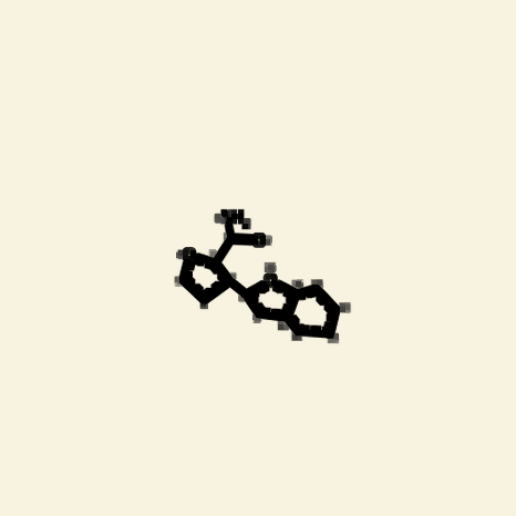 NC(=O)c1occc1-c1cc2ccccc2o1